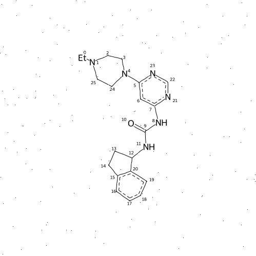 CCN1CCN(c2cc(NC(=O)NC3CCc4ccccc43)ncn2)CC1